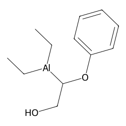 C[CH2][Al]([CH2]C)[CH](CO)Oc1ccccc1